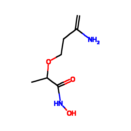 C=C(N)CCOC(C)C(=O)NO